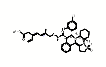 C=C/C(=C\C=C(/C)CONC(=O)[C@@H]1c2ccccc2C2=C3CCS(=O)(=O)N3[C@H]3CCCC[C@@H]3N2[C@H]1c1ccc(Cl)cc1Cl)CC(=O)OC